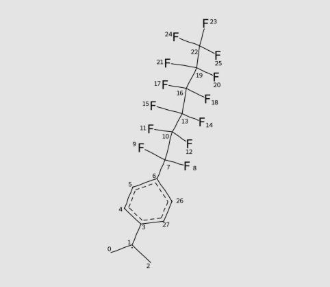 C[C](C)c1ccc(C(F)(F)C(F)(F)C(F)(F)C(F)(F)C(F)(F)C(F)(F)F)cc1